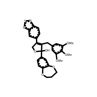 COc1cc(CC2=C(c3ccc4nsnc4c3)COC2(O)c2ccc3c(c2)OCCCO3)cc(OC)c1OC